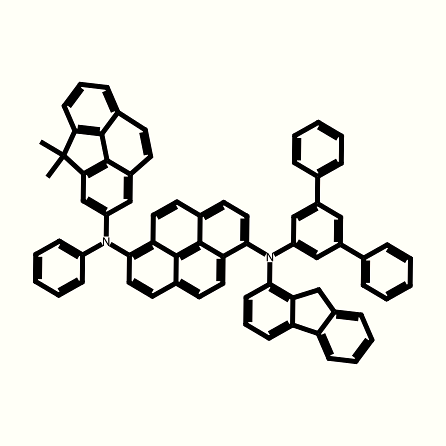 CC1(C)c2cccc3ccc4cc(N(c5ccccc5)c5ccc6ccc7c(N(c8cc(-c9ccccc9)cc(-c9ccccc9)c8)c8cccc9c8Cc8ccccc8-9)ccc8ccc5c6c87)cc1c4c23